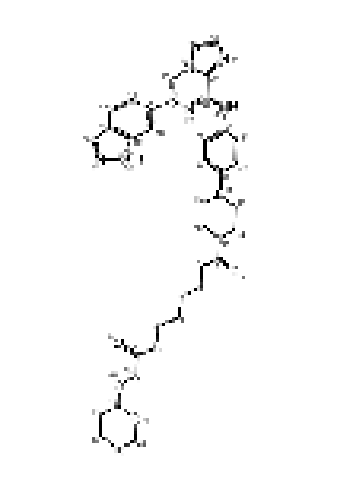 O=C(CCCCCCC(=O)N1CCN(c2ccc(Nc3nc(-c4ccc5cn[nH]c5c4)cn4ccnc34)cc2)CC1)NOC1CCCCO1